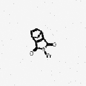 CC(C)N1C(=O)C2=C(C1=O)C1C=CC2C1